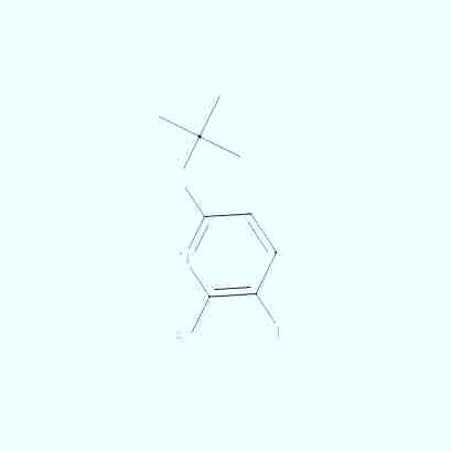 CC(C)(C)Oc1ccc(F)c(Br)n1